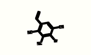 C=Cc1cc(C#N)c(Br)c(C#N)c1C#N